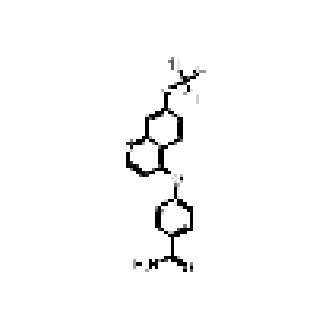 [2H]C([2H])([2H])Oc1ccc2c(Oc3ccc(C(N)=O)cc3)ccnc2c1